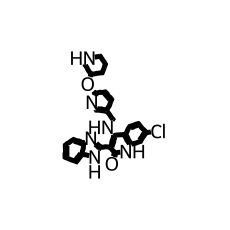 O=c1[nH]c2cc(Cl)ccc2c(NCc2ccc(OC3CCCNC3)nc2)c1-c1nc2ccccc2[nH]1